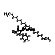 CCCCCCCCCCCCCCCCCC.CCCCC[O].O=C1C=C(c2ccccc2)C(=O)N1